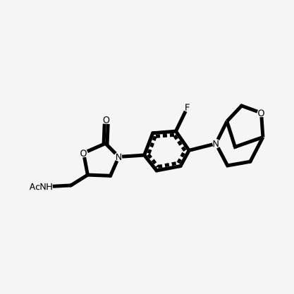 CC(=O)NCC1CN(c2ccc(N3CCC4CC3CO4)c(F)c2)C(=O)O1